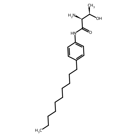 CCCCCCCCCCc1ccc(NC(=O)[C@@H](N)[C@@H](C)O)cc1